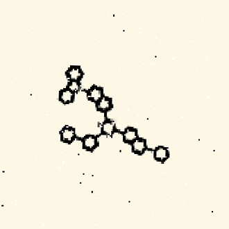 c1ccc(-c2cccc(-c3nc(-c4ccc5cc(-c6ccccc6)ccc5c4)nc(-c4ccc5ccc(-n6c7ccccc7c7ccccc76)cc5c4)n3)c2)cc1